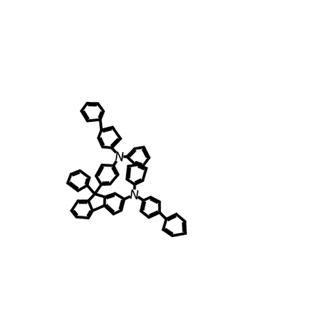 c1ccc(-c2ccc(N(c3ccccc3)c3ccc(C4(c5ccccc5)c5ccccc5-c5ccc(N(c6ccccc6)c6ccc(-c7ccccc7)cc6)cc54)cc3)cc2)cc1